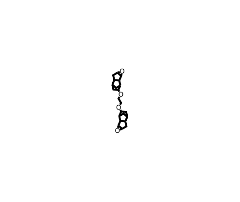 C(COC1CC2CC1C1C2CC2OC21)OC1CC2CC1C1C2CC2OC21